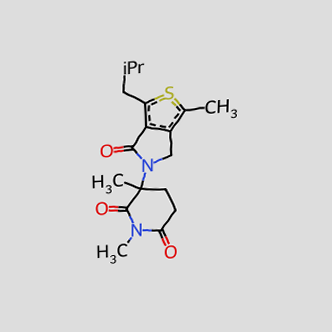 Cc1sc(CC(C)C)c2c1CN(C1(C)CCC(=O)N(C)C1=O)C2=O